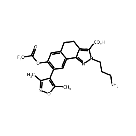 Cc1noc(C)c1-c1cc2c(cc1OC(=O)C(F)(F)F)CCc1c-2nn(CCCN)c1C(=O)O